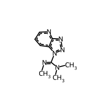 CN=C(N(C)C)n1nnc2ncccc21